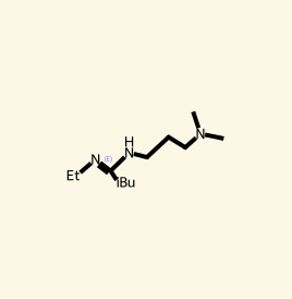 CC/N=C(/NCCCN(C)C)C(C)CC